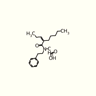 CC/C=C(/CCCCC)C(=O)N(C)CCc1ccccc1.O=CO